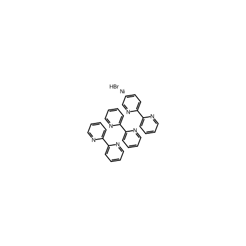 Br.[Ni].c1ccc(-c2ccccn2)nc1.c1ccc(-c2ccccn2)nc1.c1ccc(-c2ccccn2)nc1